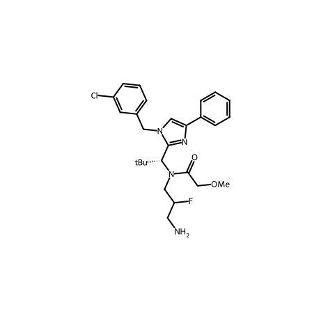 COCC(=O)N(CC(F)CN)[C@@H](c1nc(-c2ccccc2)cn1Cc1cccc(Cl)c1)C(C)(C)C